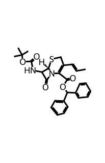 CC=CC1=C(C(=O)OC(c2ccccc2)c2ccccc2)N2C(=O)C(NC(=O)OC(C)(C)C)[C@@H]2SC1